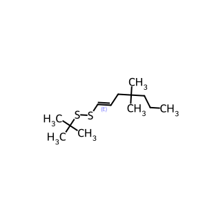 CCCC(C)(C)C/C=C/SSC(C)(C)C